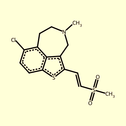 CN1CCc2c(Cl)ccc3sc(/C=C/S(C)(=O)=O)c(c23)C1